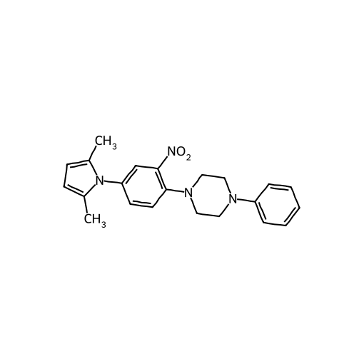 Cc1ccc(C)n1-c1ccc(N2CCN(c3ccccc3)CC2)c([N+](=O)[O-])c1